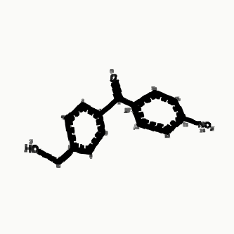 O=C(c1ccc(CO)cc1)c1ccc([N+](=O)[O-])cc1